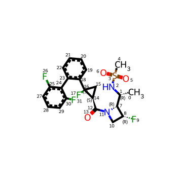 C[C@@H](NS(C)(=O)=O)[C@@H]1[C@H](F)CN1C(=O)[C@@H]1C[C@@]1(F)c1ccccc1-c1c(F)cccc1F